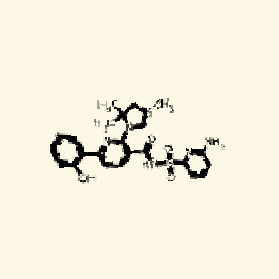 C[C@@H]1CN(c2nc(-c3ccccc3O)ccc2C(=O)NS(=O)(=O)c2cccc(N)n2)C(C)(C)C1